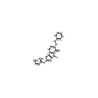 Cn1c2nc(CC(=N)/C=C\N)sc2c2cnn(CCc3cccnc3)c(=O)c21